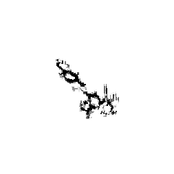 CCc1ccc(CNc2cc(NC(C)(C)CO)nc3c(Br)cnn23)cn1